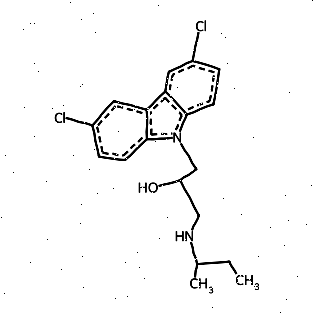 CCC(C)NCC(O)Cn1c2ccc(Cl)cc2c2cc(Cl)ccc21